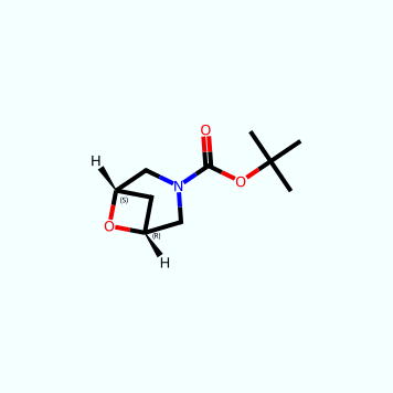 CC(C)(C)OC(=O)N1C[C@H]2C[C@@H](C1)O2